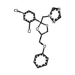 Clc1ccc(C2(Cn3cncn3)OCC(COc3ccccc3)O2)c(Cl)c1